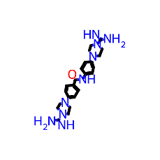 N=C(N)N1CCN(c2ccc(NC(=O)c3ccc(N4CCN(C(=N)N)CC4)cc3)cc2)CC1